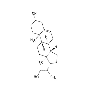 CC(CO)[C@H]1CC[C@H]2[C@@H]3CC=C4C[C@@H](O)CC[C@]4(C)[C@H]3CC[C@]12C